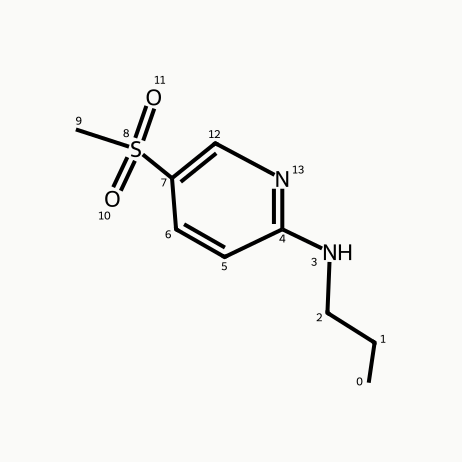 CCCNc1ccc(S(C)(=O)=O)cn1